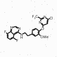 COc1cc(CCNc2ncnc3c(F)ccc(F)c23)ccc1Oc1cc(Cl)nc(C(F)(F)F)n1